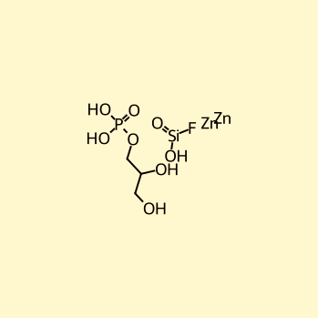 O=P(O)(O)OCC(O)CO.O=[Si](O)F.[Zn].[Zn]